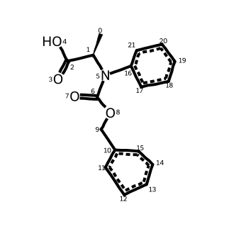 C[C@H](C(=O)O)N(C(=O)OCc1ccccc1)c1ccccc1